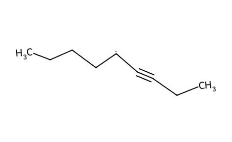 CCC#C[CH]CCCC